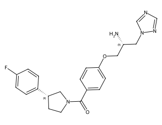 N[C@@H](COc1ccc(C(=O)N2CC[C@H](c3ccc(F)cc3)C2)cc1)Cn1cncn1